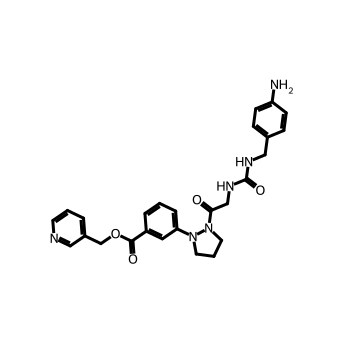 Nc1ccc(CNC(=O)NCC(=O)N2CCCN2c2cccc(C(=O)OCc3cccnc3)c2)cc1